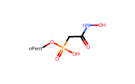 CCCCCOP(=O)(O)CC(=O)NO